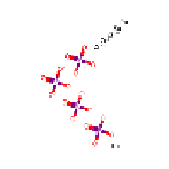 O=P([O-])([O-])[O-].O=P([O-])([O-])[O-].O=P([O-])([O-])[O-].O=P([O-])([O-])[O-].[Ru].[Ru].[Ru].[Zr+4].[Zr+4].[Zr+4]